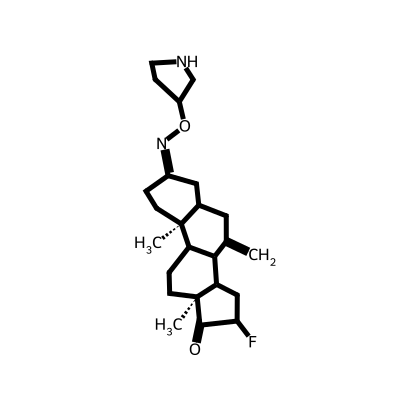 C=C1CC2CC(=NOC3CCNC3)CC[C@]2(C)C2CC[C@]3(C)C(=O)C(F)CC3C12